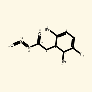 CC(C)C1=CC=C(F)C(C(C)C)C1CC(=O)N=S=O